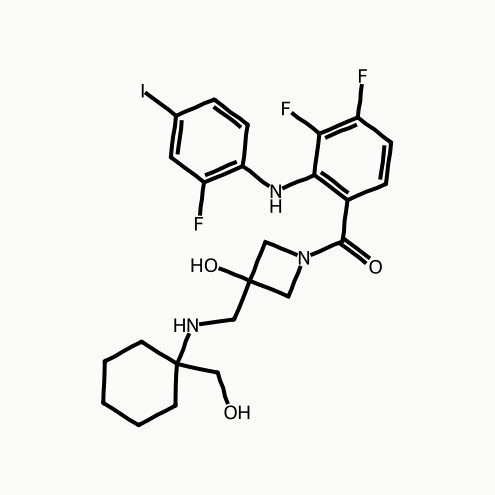 O=C(c1ccc(F)c(F)c1Nc1ccc(I)cc1F)N1CC(O)(CNC2(CO)CCCCC2)C1